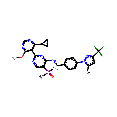 COc1ncnc(C2CC2)c1-c1ncc(P(C)(C)=O)c(NCc2ccc(-n3nc(C(F)(F)F)cc3C)cc2)n1